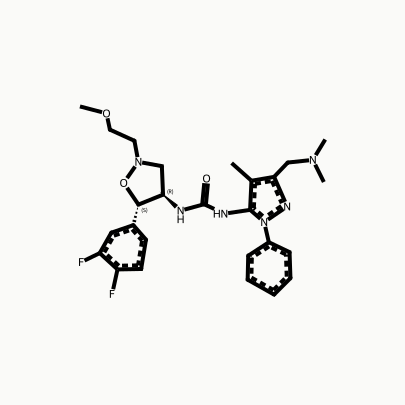 COCCN1C[C@@H](NC(=O)Nc2c(C)c(CN(C)C)nn2-c2ccccc2)[C@H](c2ccc(F)c(F)c2)O1